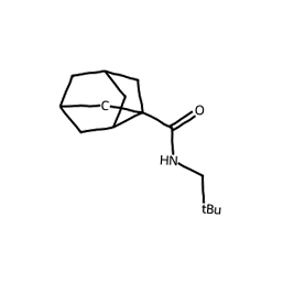 CC(C)(C)CNC(=O)C12CC3CC(CC1C3)C2